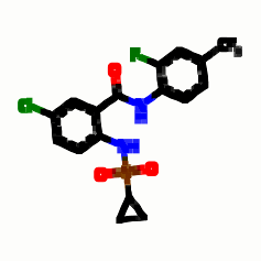 O=C(Nc1ccc(C(F)(F)F)cc1F)c1cc(Cl)ccc1NS(=O)(=O)C1CC1